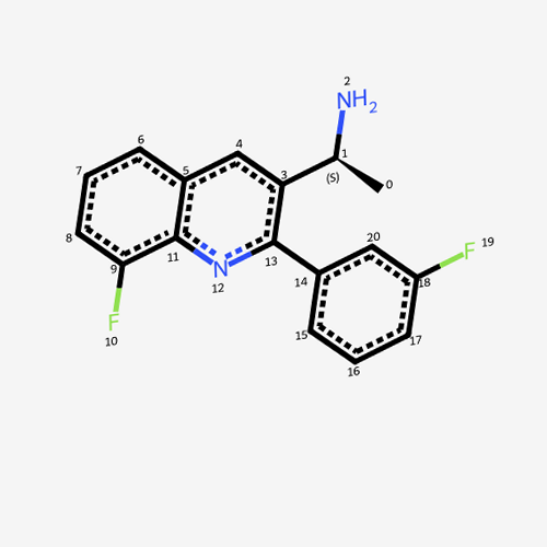 C[C@H](N)c1cc2cccc(F)c2nc1-c1cccc(F)c1